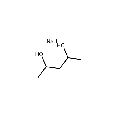 CC(O)CC(C)O.[NaH]